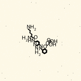 NCCCC[C@H](N)C(=O)Nc1ccc(/N=N/c2ccccc2OCOP(=O)(O)O)c(N)n1